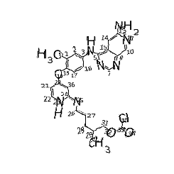 Cc1cc(Nc2ncnc3cnc(N)cc23)ccc1Oc1cc[nH]/c(=N\C=C\CC(C)COC(=O)Cl)c1